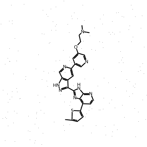 Cc1ccc(-c2ccnc3[nH]c(-c4n[nH]c5cnc(-c6cncc(OCCN(C)C)c6)cc45)nc23)s1